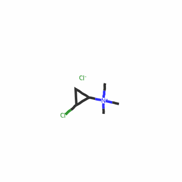 C[N+](C)(C)C1CC1Cl.[Cl-]